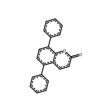 O=c1ccc2c(-c3ccccc3)ccc(-c3ccccc3)c2o1